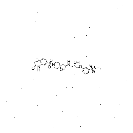 CS(=O)(=O)c1cccc(OC[C@@H](O)CNC2COC3(CCN(S(=O)(=O)c4ccc5c(c4)NC(=O)CO5)CC3)C2)c1